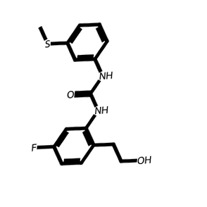 CSc1cccc(NC(=O)Nc2cc(F)ccc2CCO)c1